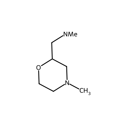 CNCC1CN(C)CCO1